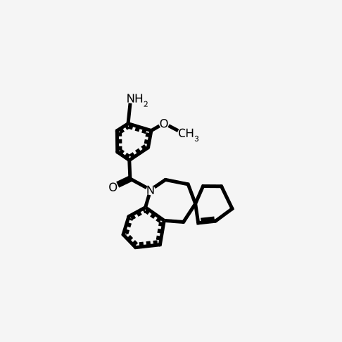 COc1cc(C(=O)N2CCC3(C=CCCC3)Cc3ccccc32)ccc1N